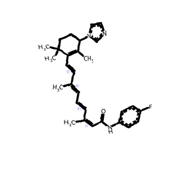 CC1=C(/C=C/C(C)=C/C=C/C(C)=C\C(=O)Nc2ccc(F)cc2)C(C)(C)CCC1n1ccnc1